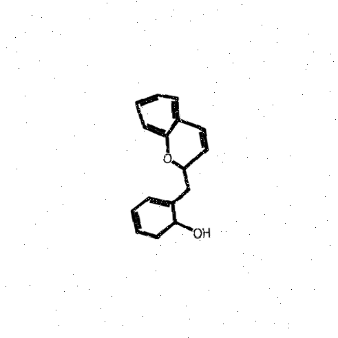 OC1CC=CC=C1CC1C=Cc2ccccc2O1